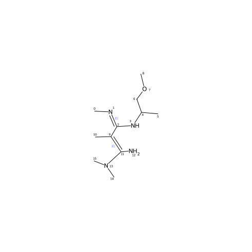 C/N=C(NC(C)COC)\C(C)=C(/N)N(C)C